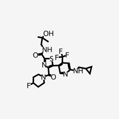 CC(C)(O)CNC(=O)c1nc(C(=O)N2CCC(F)CC2)c(-c2cnc(NCC3CC3)cc2C(F)(F)F)s1